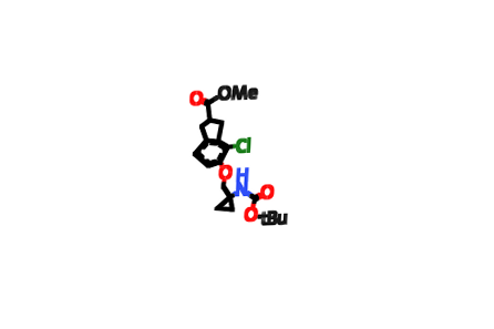 COC(=O)C1Cc2ccc(OCC3(NC(=O)OC(C)(C)C)CC3)c(Cl)c2C1